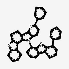 c1ccc(-c2ccc3c(n2)c2ccc4sc5ccccc5c4c2n3-c2cccc3c2sc2c(-c4ccccc4)cccc23)cc1